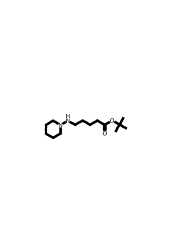 CC(C)(C)OC(=O)CCCCNN1CCCCC1